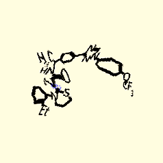 CCc1ccccc1N1CCCS/C1=N\C(=O)NC(C)c1ccc(-c2ncn(-c3ccc(OC(F)(F)F)cc3)n2)cc1